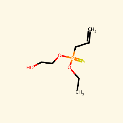 C=CCP(=S)(OCC)OCCO